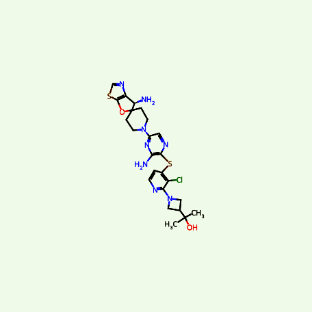 CC(C)(O)C1CN(c2nccc(Sc3ncc(N4CCC5(CC4)Oc4scnc4[C@H]5N)nc3N)c2Cl)C1